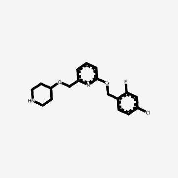 Fc1cc(Cl)ccc1COc1cccc(COC2CCNCC2)n1